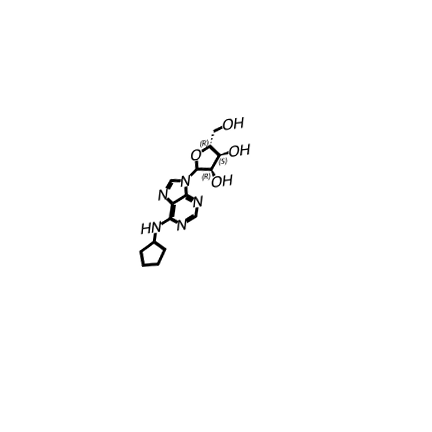 OC[C@H]1OC(n2cnc3c(NC4CCCC4)ncnc32)[C@H](O)[C@@H]1O